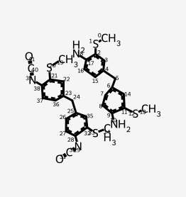 CSc1cc(Cc2ccc(N)c(SC)c2)ccc1N.CSc1cc(Cc2ccc(N=C=O)c(SC)c2)ccc1N=C=O